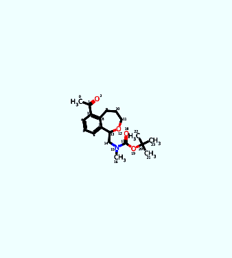 CC(=O)c1cccc2c1CCCOC2CN(C)C(=O)OC(C)(C)C